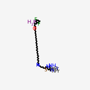 C=C(CCOCCCCCCCCCCCCCCCCCCCCCCCCCCCCCN(C)CCCCCc1cc2c(s1)C=C(C(=C)N(CCC)CCC)CC(N)=N2)Cc1c(F)c(C)cc(F)c1P